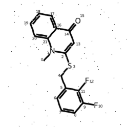 Cn1c(SCc2cccc(F)c2F)cc(=O)c2ccccc21